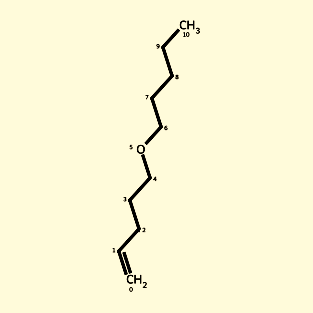 C=C[CH]CCOCCCCC